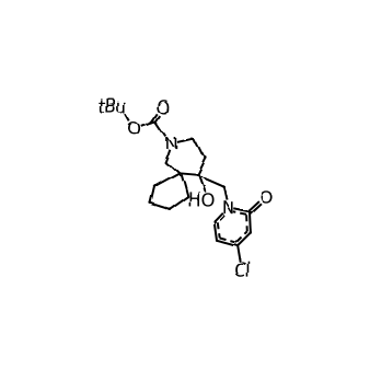 CC(C)(C)OC(=O)N1CCC(O)(Cn2ccc(Cl)cc2=O)C2(CCCC2)C1